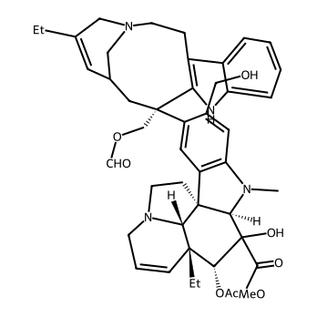 CCC1=CC2CN(CCc3c([nH]c4ccccc34)[C@@](COC=O)(c3cc4c(cc3CO)N(C)[C@H]3C(O)(C(=O)OC)[C@H](OC(C)=O)[C@]5(CC)C=CCN6CC[C@]43[C@@H]65)C2)C1